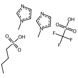 CCCCS(=O)(=O)O.Cn1ccnc1.Cn1ccnc1.O=S(=O)(O)C(F)(F)F